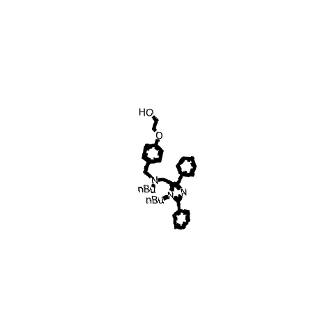 CCCCN(Cc1ccc(OCCO)cc1)Cc1c(-c2ccccc2)nc(-c2ccccc2)n1CCCC